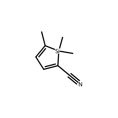 CC1=CC=C(C#N)[Si]1(C)C